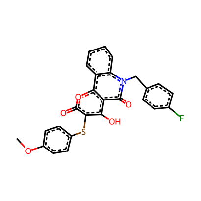 COc1ccc(Sc2c(O)c3c(=O)n(Cc4ccc(F)cc4)c4ccccc4c3oc2=O)cc1